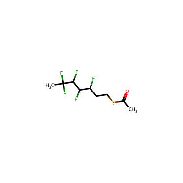 CC(=O)SCCC(F)C(F)C(F)C(C)(F)F